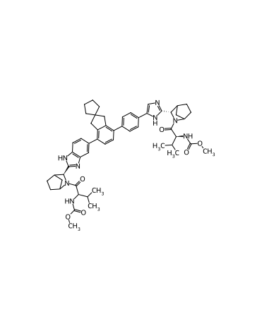 COC(=O)NC(C(=O)N1C2CCC(C2)[C@H]1c1nc2cc(-c3ccc(-c4ccc(-c5cnc([C@@H]6C7CCC(C7)N6C(=O)[C@@H](NC(=O)OC)C(C)C)[nH]5)cc4)c4c3CC3(CCCC3)C4)ccc2[nH]1)C(C)C